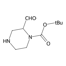 CC(C)(C)OC(=O)N1CCNCC1[C]=O